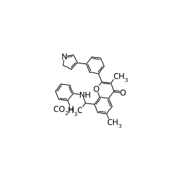 Cc1cc(C(C)Nc2ccccc2C(=O)O)c2oc(-c3cccc(C4=CCN=C4)c3)c(C)c(=O)c2c1